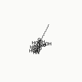 CCCCCCCCCCCCCCCC(=O)N[C@H](C(=O)N[C@@H](Cc1ccc(O)cc1)C(=O)N[C@@H](CO)C(=O)N[C@H](C(=O)NC)[C@@H](C)O)[C@@H](C)O